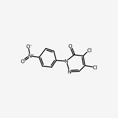 O=c1c(Cl)c(Cl)cnn1-c1ccc([N+](=O)[O-])cc1